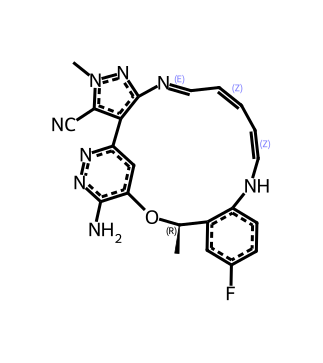 C[C@H]1Oc2cc(nnc2N)-c2c(nn(C)c2C#N)/N=C/C=C\C=C/Nc2ccc(F)cc21